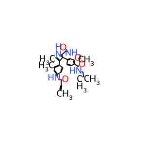 CC#CC(=O)Nc1ccc(-c2c(C)[nH]c(C(N)=O)c2-c2ccc(C(=O)NCC(C)C)c(OC)c2)c(C)c1